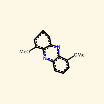 COc1cccc2nc3c(OC)cccc3nc12